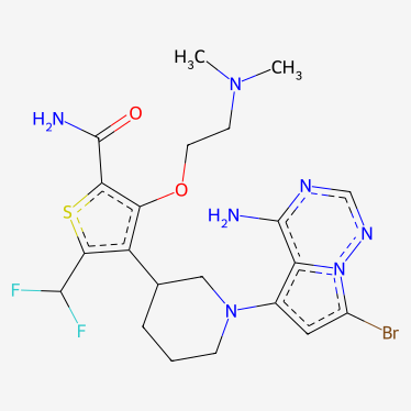 CN(C)CCOc1c(C(N)=O)sc(C(F)F)c1C1CCCN(c2cc(Br)n3ncnc(N)c23)C1